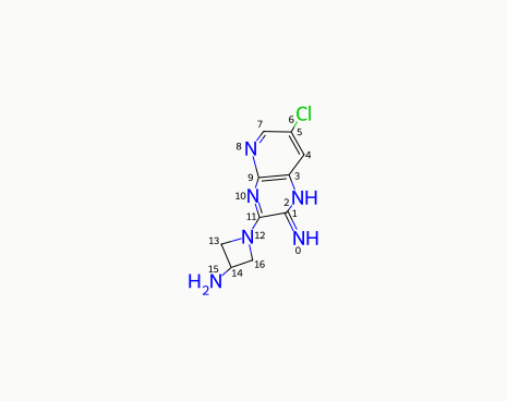 N=c1[nH]c2cc(Cl)cnc2nc1N1CC(N)C1